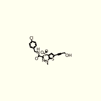 CN1N=C(C(=O)NCc2ccc(Cl)cc2)S(=O)(=O)c2cc(C#CCO)sc21